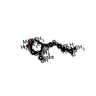 C=CC(=O)Nc1cc(Cl)cc(NC(=O)c2cnn(-c3ccc(OCC(=O)N4CCN(C(=O)CCC[C@@H]5/C=C(\C)C[C@H](C)C[C@H](OC)[C@H]6O[C@@](O)(C(=O)C(=O)N7CCCC[C@H]7C(=O)O[C@H](/C(C)=C/[C@@H]7CC[C@@H](O)[C@H](OC)C7)[C@H](C)[C@@H](O)CC5=O)[C@H](C)C[C@@H]6O)CC4)cc3)c2C(F)(F)F)c1